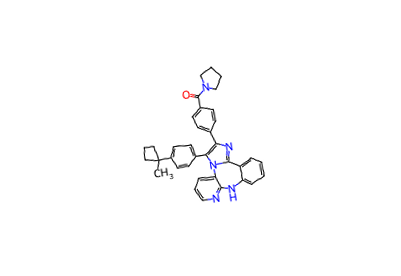 CC1(c2ccc(-c3c(-c4ccc(C(=O)N5CCCC5)cc4)nc4n3-c3cccnc3Nc3ccccc3-4)cc2)CCC1